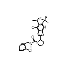 CC(C)n1c(C(F)(F)F)nc2sc(C3CCCN3C(=O)NCc3ccccc3Cl)nc2c1=O